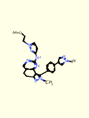 COCCn1ccc(Nc2ncc3c(n2)-c2c(nn(C)c2-c2ccc(-c4cnn(C(C)C)c4)cc2)CC3)n1